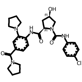 O=C(Nc1ccc(C(=O)N2CCCC2)cc1N1CCCC1)[C@H]1C[C@@H](O)CN1C(=O)Nc1ccc(Cl)cc1